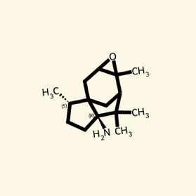 C[C@H]1CC[C@@]2(N)C(C)(C)C3CC12CC1OC13C